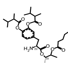 CCCCCC(=O)OC(C)[C@H](C)OC(=O)[C@@H](N)Cc1ccc(OC(=O)C(C)C(C)C)c(OC(=O)C(C)C(C)C)c1